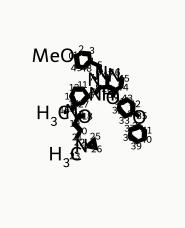 COc1ccc(Cn2nc(Nc3cccc(N(C)C(=O)C=CCN(C)C4CC4)c3)c3c(Oc4ccc(Oc5ccccc5)cc4)ccnc32)cc1